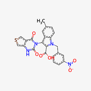 Cc1ccc2c(c1)c(-n1c(=O)[nH]c3cscc3c1=O)c(C(=O)O)n2Cc1cccc([N+](=O)[O-])c1